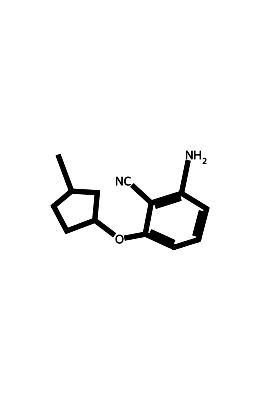 CC1CCC(Oc2cccc(N)c2C#N)C1